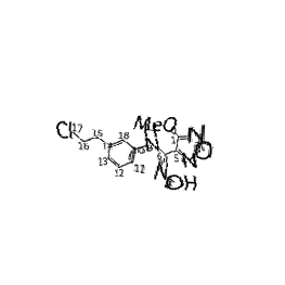 COc1nonc1/C(=N\O)Nc1cccc(CCCl)c1